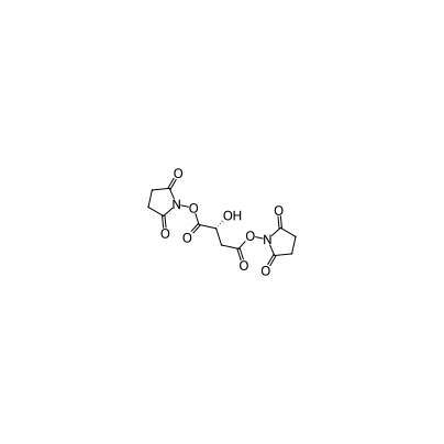 O=C(C[C@@H](O)C(=O)ON1C(=O)CCC1=O)ON1C(=O)CCC1=O